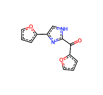 O=C(c1nc(-c2ccco2)c[nH]1)c1ccco1